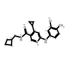 Cc1ccc(Nc2cc(C3CC3)c(C(=O)NCC3CCC3)cn2)cc1Cl